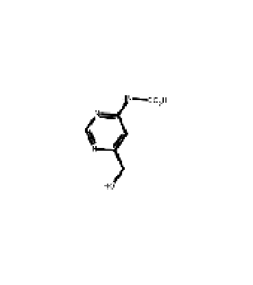 O=C(O)Nc1cc(CO)ncn1